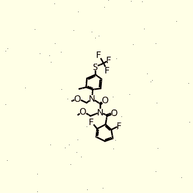 COCN(C(=O)c1c(F)cccc1F)C(=O)N(COC)c1ccc(SC(F)(F)F)cc1C